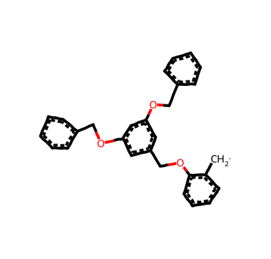 [CH2]c1ccccc1OCc1cc(OCc2ccccc2)cc(OCc2ccccc2)c1